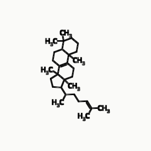 CC(C)=CCCC(C)C1CCC2(C)C3=C(CCC12C)C1(C)CCCC(C)(C)C1CC3